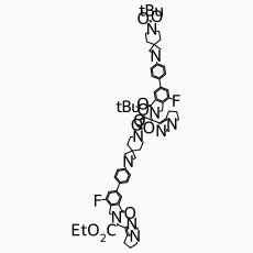 CCOC(=O)C(c1ncn2c1CCC2)N1Cc2c(F)cc(-c3ccc(N4CC5(CCN(C(=O)OC(C(=O)OC(C)(C)C)(c6ncn7c6CCC7)N6Cc7c(F)cc(-c8ccc(N9CC%10(CCN(C(=O)OC(C)(C)C)CC%10)C9)cc8)cc7C6=O)CC5)C4)cc3)cc2C1=O